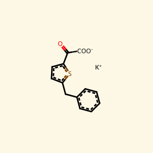 O=C([O-])C(=O)c1ccc(Cc2ccccc2)s1.[K+]